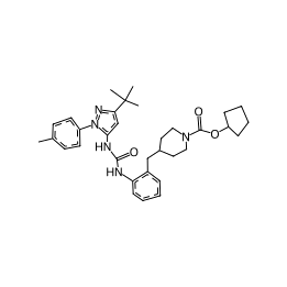 Cc1ccc(-n2nc(C(C)(C)C)cc2NC(=O)Nc2ccccc2CC2CCN(C(=O)OC3CCCC3)CC2)cc1